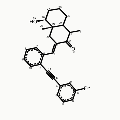 CC1C(=O)/C(=C/c2ccccc2C#Cc2cccc(F)c2)C[C@@]2(C)C1CCC[C@@H]2O